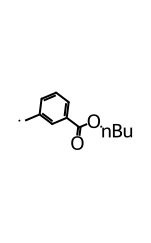 [CH2]c1cccc(C(=O)OCCCC)c1